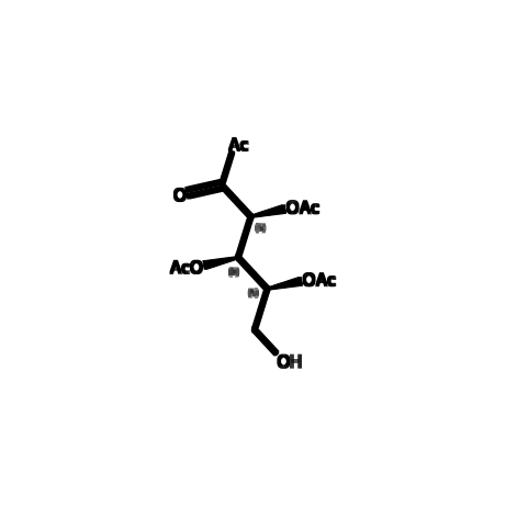 CC(=O)O[C@H]([C@H](CO)OC(C)=O)[C@H](OC(C)=O)C(=O)C(C)=O